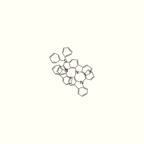 c1ccc(-n2c3ccccc3c3cccc(-n4c5ccccc5c5ccc([Si](c6ccccc6)(c6ccccc6)c6ccccc6)c(-n6c7ccccc7c7ccccc76)c54)c32)cc1